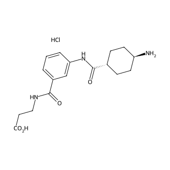 Cl.N[C@H]1CC[C@H](C(=O)Nc2cccc(C(=O)NCCC(=O)O)c2)CC1